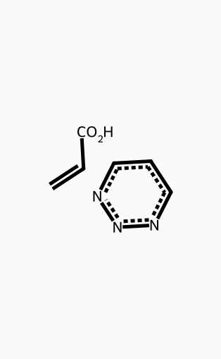 C=CC(=O)O.c1cnnnc1